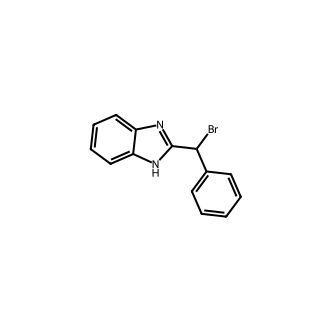 BrC(c1ccccc1)c1nc2ccccc2[nH]1